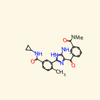 CNC(=O)c1cccc(C(=O)c2nc(-c3cc(C(=O)NC4CC4)ccc3C)[nH]c2N)c1